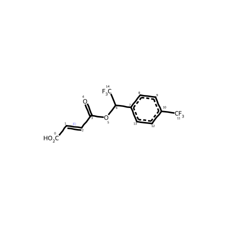 O=C(O)/C=C/C(=O)OC(c1ccc(C(F)(F)F)cc1)C(F)(F)F